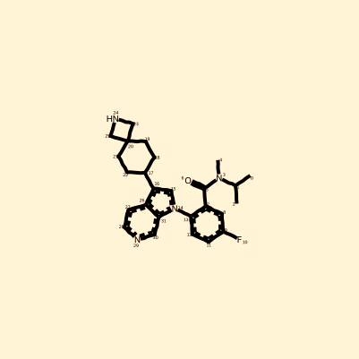 CC(C)N(C)C(=O)c1cc(F)ccc1-n1cc(C2CCC3(CC2)CNC3)c2ccncc21